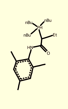 CCCC[PH](CCCC)(CCCC)C(CC)C(=O)Nc1c(C)cc(C)cc1C